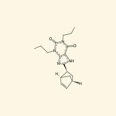 CCCn1c(=O)c2[nH]c([C@H]3C[C@@H]4C=C[C@@H]3C4)nc2n(CCC)c1=O